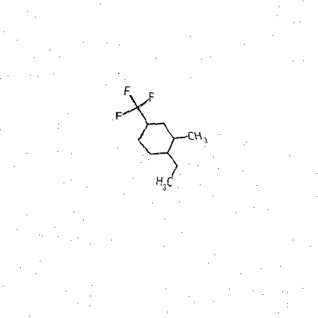 CCC1CCC(C(F)(F)F)CC1C